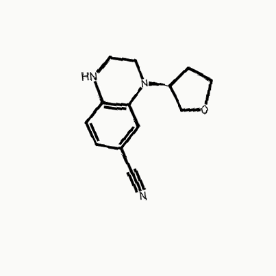 N#Cc1ccc2c(c1)N([C@H]1CCOC1)CCN2